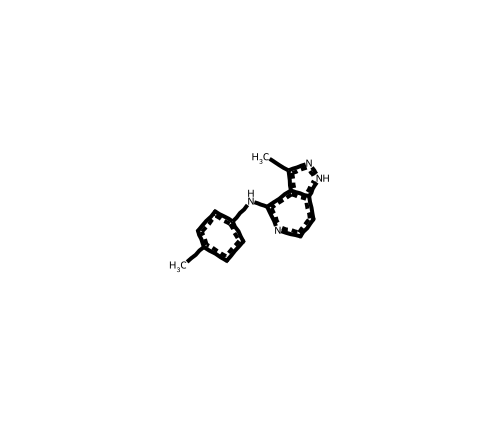 Cc1ccc(Nc2nccc3[nH]nc(C)c23)cc1